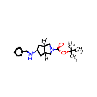 CC(C)(C)OC(=O)N1C[C@H]2C[C@H](NCc3ccccc3)C[C@H]2C1